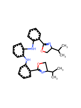 CC(C)C1COC(c2ccccc2Nc2ccccc2Nc2ccccc2C2=NC(C(C)C)CO2)=N1